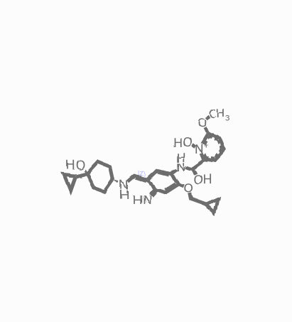 COc1cccc(C(O)NC2=C/C(=C/N[C@H]3CC[C@@](O)(C4CC4)CC3)C(=N)C=C2OCC2CC2)[n+]1O